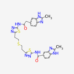 Cc1nc2cc(C(=O)Nc3nnc(CCSCCc4nnc(NC(=O)Cc5ccc6nc(C)[nH]c6c5)s4)s3)ccc2[nH]1